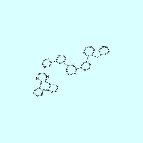 c1cc(-c2cccc(-c3cccc(-c4cccc5c4Cc4ccccc4-5)c3)c2)cc(-c2cccc(-c3cnc4c5ccccc5c5ccccc5c4n3)c2)c1